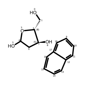 OC[C@H]1OC(O)C[C@@H]1O.c1ccc2ccccc2c1